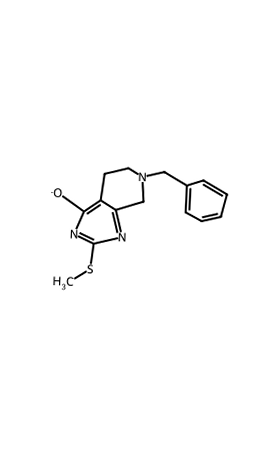 CSc1nc([O])c2c(n1)CN(Cc1ccccc1)CC2